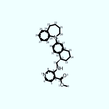 COC(=O)c1ccncc1NC[C@@H]1CCCc2cc(N3CCCCc4ccccc43)ccc21